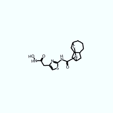 O=C(Cc1csc(NC(=O)N2CC3CCCC4CC2CC4C3)n1)NO